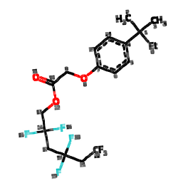 CCC(C)(C)c1ccc(OCC(=O)OCC(F)(F)CC(F)(F)CC(F)(F)F)cc1